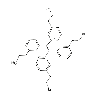 OCCc1cccc(C(c2cccc(CCO)c2)C(c2cccc(CCO)c2)c2cccc(CCO)c2)c1